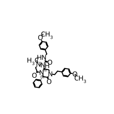 COc1ccc(CCN2C[C@H]3N(C(=O)CN(C)N3C(=O)NCc3ccc(OC)cc3)[C@@H](c3ccccc3)C2=O)cc1